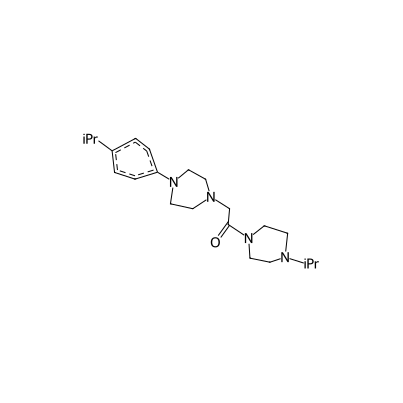 CC(C)c1ccc(N2CCN(CC(=O)N3CCN(C(C)C)CC3)CC2)cc1